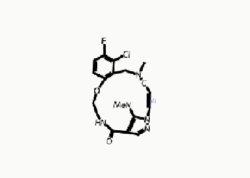 CNc1c2cnn1/C=C\CN(C)Cc1c(ccc(F)c1Cl)OCCNC2=O